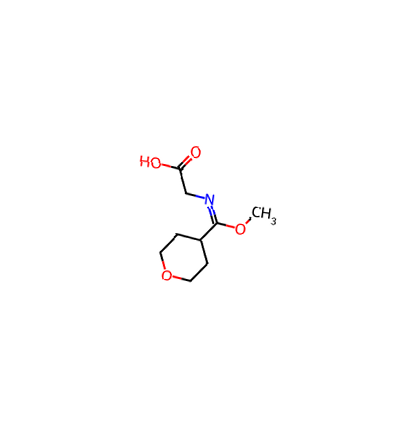 CO/C(=N/CC(=O)O)C1CCOCC1